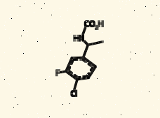 CC(NC(=O)O)c1ccc(Cl)c(F)c1